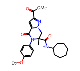 CCOc1ccc(N2C(=O)c3cc(C(=O)OC)nn3CC2(C)C(=O)NC2CCCCCC2)cc1